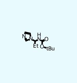 CCC(NC(=O)OC(C)(C)C)n1ccnc1